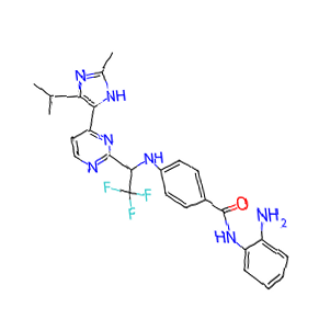 Cc1nc(C(C)C)c(-c2ccnc(C(Nc3ccc(C(=O)Nc4ccccc4N)cc3)C(F)(F)F)n2)[nH]1